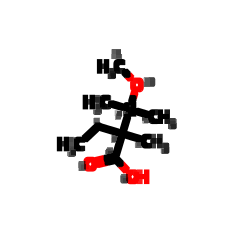 CCC(C)(C(=O)O)[Si](C)(C)OC